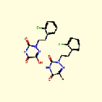 O=c1[nH]c(=O)n(CCc2ccccc2Cl)nc1Br.O=c1[nH]c(=O)n(CCc2ccccc2Cl)nc1O